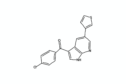 O=C(c1ccc(Cl)cc1)c1c[nH]c2ncc(-c3ccsc3)cc12